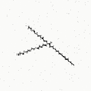 CCCCCCCCCCCCCCCCC(=O)N(CCCOCCOCCOCCO)CCOCCOCCOCCOCCO